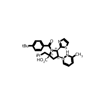 CC1=CC=CN([C@H]2C[C@@](CC(C)C)(C(=O)O)N(C(=O)c3ccc(C(C)(C)C)cc3)[C@H]2c2nccs2)N1